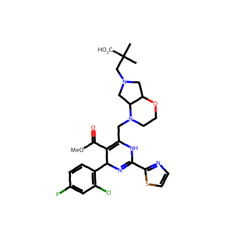 COC(=O)C1=C(CN2CCOC3CN(CC(C)(C)C(=O)O)CC32)NC(c2nccs2)=NC1c1ccc(F)cc1Cl